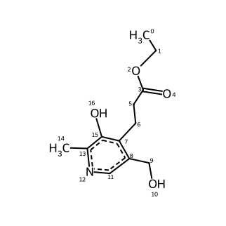 CCOC(=O)CCc1c(CO)cnc(C)c1O